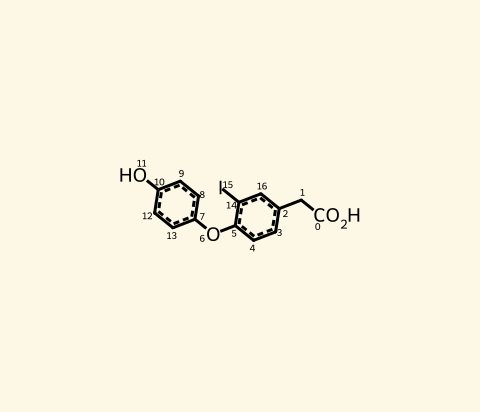 O=C(O)Cc1ccc(Oc2ccc(O)cc2)c(I)c1